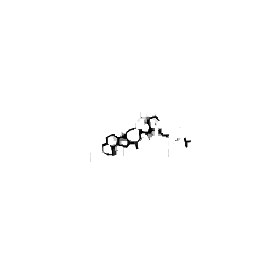 CC1=C2C[C@H]3[C@@H](CCC4=CC(O)CC[C@@]43C)[C@@H]2CC[C@@]2(C1)O[C@@H]1C[C@H](C)CN(CCNC(=O)OC(C)(C)C)[C@H]1[C@H]2C